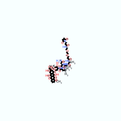 COc1cccc2c1C(=O)c1c(O)c3c(c(O)c1C2=O)C[C@@](O)(C(=O)CO)C[C@@H]3O[C@H]1C[C@H](NC(=O)C(CC(C)C)NC(=O)[C@@H](CC(N)=O)NC(=O)[C@@H](C)NC(=O)[C@@H](C)NC(=O)CCOCCOCCNC(=O)CCN2C(=O)C=CC2=O)[C@H](O)[C@H](C)O1